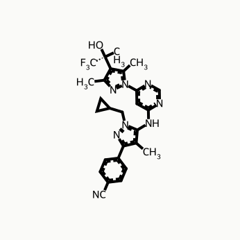 Cc1nn(-c2cc(Nc3c(C)c(-c4ccc(C#N)cc4)nn3CC3CC3)ncn2)c(C)c1[C@](C)(O)C(F)(F)F